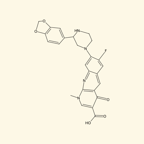 Cn1cc(C(=O)O)c(=O)c2cc3cc(F)c(N4CCNC(c5ccc6c(c5)OCO6)C4)cc3nc21